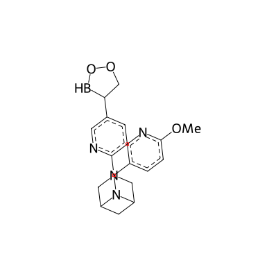 COc1ccc(CN2C3CC2CN(c2ccc(C4BOOC4)cn2)C3)cn1